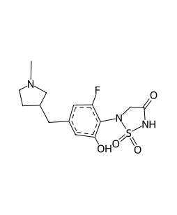 CN1CCC(Cc2cc(O)c(N3CC(=O)NS3(=O)=O)c(F)c2)C1